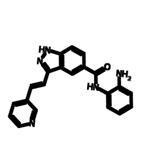 Nc1ccccc1NC(=O)c1ccc2[nH]nc(C=Cc3cccnc3)c2c1